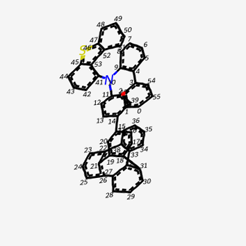 c1ccc(-c2ccccc2N(c2ccc(-c3ccc4c(c3)-c3c5cccc3-c3cccc-4c3-c3ccccc3-5)cc2)c2cccc3sc4ccccc4c23)cc1